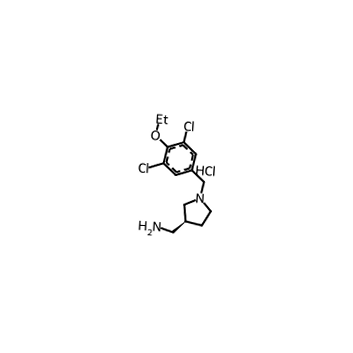 CCOc1c(Cl)cc(CN2CC[C@@H](CN)C2)cc1Cl.Cl